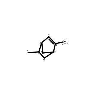 CCC1=CC2CC1CC2C